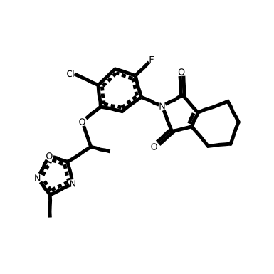 Cc1noc(C(C)Oc2cc(N3C(=O)C4=C(CCCC4)C3=O)c(F)cc2Cl)n1